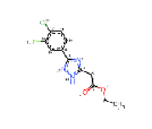 CCOC(=O)Cc1nc(-c2ccc(Cl)c(F)c2)n[nH]1